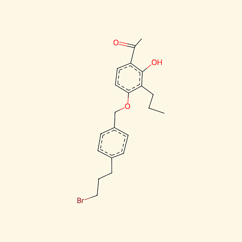 CCCc1c(OCc2ccc(CCCBr)cc2)ccc(C(C)=O)c1O